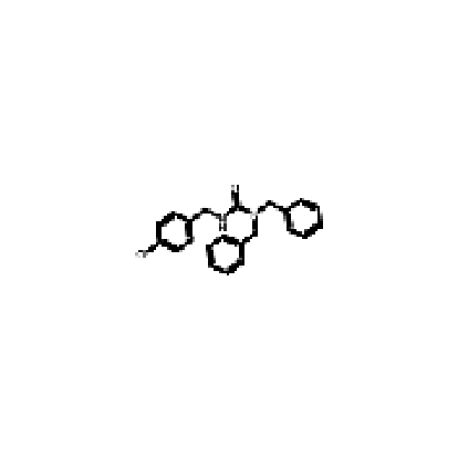 O=C(NCc1ccc(Cl)cc1)N(Cc1ccccc1)Cc1ccccc1